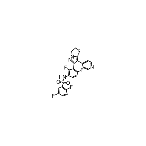 O=S(=O)(Nc1ccc(F)c(-c2nn3c(c2-c2ccncc2)SCC3)c1F)c1cc(F)ccc1F